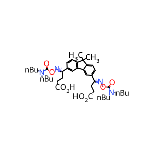 CCCCN(CCCC)C(=O)O/N=C(\CCC(=O)O)c1ccc2c(c1)-c1cc(/C(CCC(=O)O)=N/OC(=O)N(CCCC)CCCC)ccc1C2(C)C